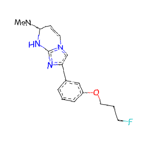 CNC1C=Cn2cc(-c3cccc(OCCCF)c3)nc2N1